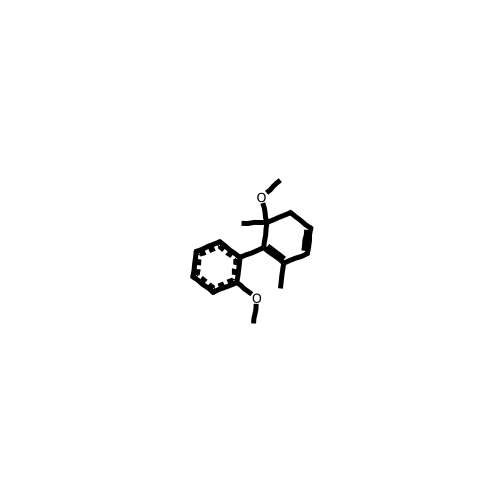 COc1ccccc1C1=C(C)C=CCC1(C)OC